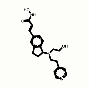 O=C(/C=C/c1ccc2c(c1)CCC2N(CCO)CCc1ccncc1)NO